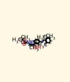 CC1=C(/C=C/c2cccc(C(O)C(C)(C)CNC(=O)OC(C)(C)C)c2)C(C)(C)CCC1